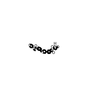 O=C1CCC(N2Cc3cc(C4CCN(Cc5cccc(N6CCN(C7CCOCC7)C6=O)c5)CC4)ccc3C2=O)C(=O)N1